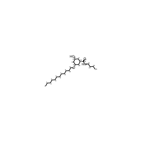 CCCCCCCCCCCCO[C@H]1C[C@@H](O)C[C@@H](C(=O)NCCCC)C1